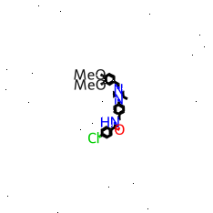 COc1ccc(CN2CCN(c3ccc(CNC(=O)c4ccc(Cl)cc4)cc3)C(C)C2)cc1OC